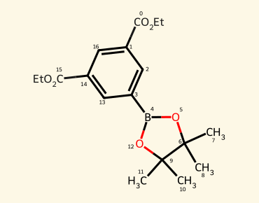 CCOC(=O)c1cc(B2OC(C)(C)C(C)(C)O2)cc(C(=O)OCC)c1